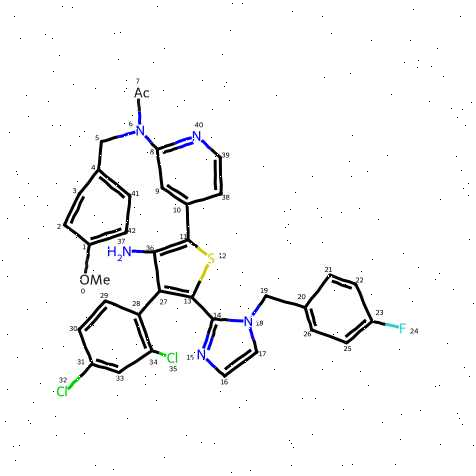 COc1ccc(CN(C(C)=O)c2cc(-c3sc(-c4nccn4Cc4ccc(F)cc4)c(-c4ccc(Cl)cc4Cl)c3N)ccn2)cc1